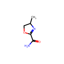 CC1COC(C(N)=O)=N1